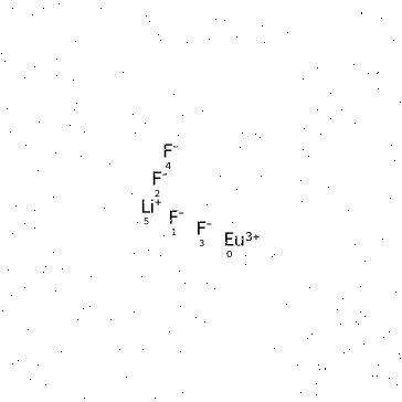 [Eu+3].[F-].[F-].[F-].[F-].[Li+]